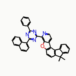 CC1(C)c2ccccc2-c2c1ccc1oc3c(-c4nc(-c5ccccc5)nc(-c5cccc6ccccc56)n4)nccc3c21